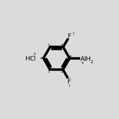 Cl.Fc1cccc(F)[c]1[AlH2]